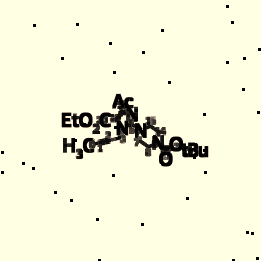 CC#CCn1c(N2CCN(C(=O)OC(C)(C)C)CC2)nc(C(C)=O)c1C(=O)OCC